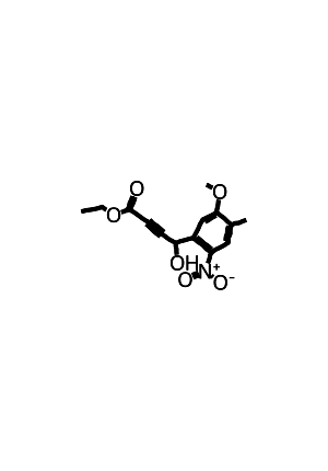 CCOC(=O)C#CC(O)c1cc(OC)c(C)cc1[N+](=O)[O-]